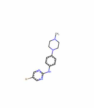 CN1CCN(c2ccc(Nc3ncc(Br)cn3)cc2)CC1